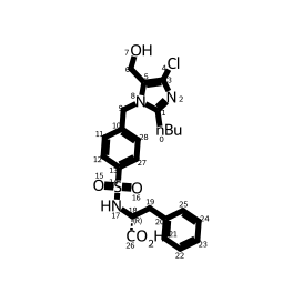 CCCCc1nc(Cl)c(CO)n1Cc1ccc(S(=O)(=O)N[C@H](Cc2ccccc2)C(=O)O)cc1